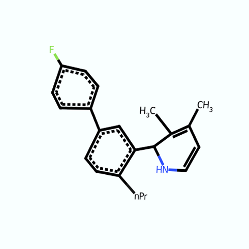 CCCc1ccc(-c2ccc(F)cc2)cc1C1NC=CC(C)=C1C